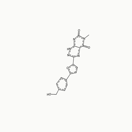 Cn1c(=O)nc2[nH]nc(-c3ccc(-c4ccc(CO)cc4)o3)nc-2c1=O